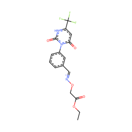 CCOC(=O)CO/N=C/c1cccc(-n2c(=O)cc(C(F)(F)F)[nH]c2=O)c1